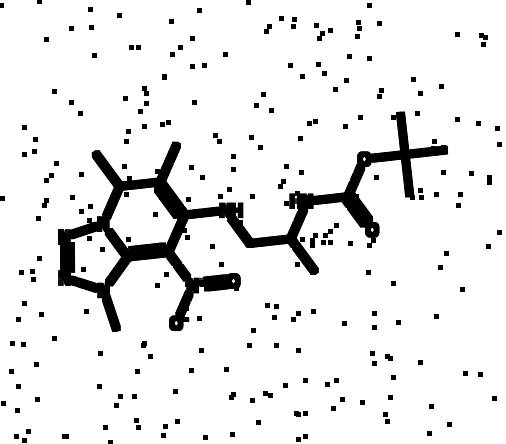 CC1=C(NCC(C)NC(=O)OC(C)(C)C)C([N+](=O)[O-])=C2N(C)N=NN2C1C